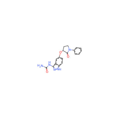 NC(=O)Nc1n[nH]c2ccc(OC3CCN(c4ccccc4)C3=O)cc12